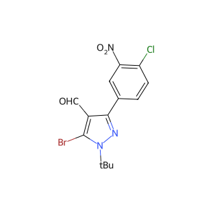 CC(C)(C)n1nc(-c2ccc(Cl)c([N+](=O)[O-])c2)c(C=O)c1Br